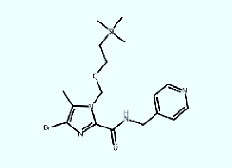 Cc1c(Br)nc(C(=O)NCc2ccncc2)n1COCC[Si](C)(C)C